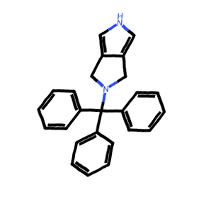 c1ccc(C(c2ccccc2)(c2ccccc2)N2Cc3c[nH]cc3C2)cc1